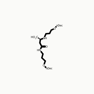 CCCCCCCCCCOCCCNC(=O)C[C@H](NCCCOCCCCCCCCCC)C(=O)O